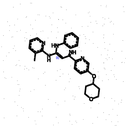 Cc1cccnc1N/C(=C/C(=N)c1ccc(OC2CCOCC2)cn1)Nc1ccccc1